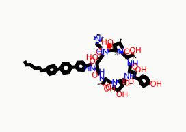 CCCCCCc1ccc(-c2ccc(-c3ccc(C(=O)N[C@H]4C[C@@H](O)[C@@H](OCC[N+](C)(C)C)NC(=O)[C@@H]5[C@@H](O)[C@@H](C)CN5C(=O)[C@H]([C@@H](C)O)NC(=O)[C@H]([C@H](O)[C@@H](O)c5ccc(O)cc5)NC(=O)[C@@H]5C[C@@H](O)CN5C(=O)[C@H]([C@@H](C)O)NC4=O)cc3)cc2)cc1